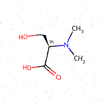 CN(C)[C@H](CO)C(=O)O